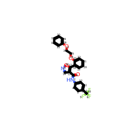 O=C(Nc1ccc(C(F)(F)F)cc1)c1cnoc1-c1ccccc1OCCOc1ccccc1